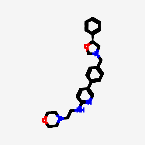 c1ccc([C@@H]2CN(Cc3ccc(-c4ccc(NCCN5CCOCC5)nc4)cc3)CO2)cc1